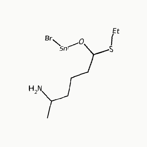 CCSC(CCCC(C)N)[O][Sn][Br]